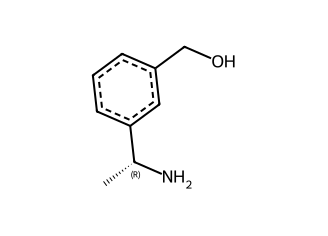 C[C@@H](N)c1cccc(CO)c1